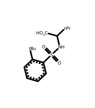 [CH2]CCC(NS(=O)(=O)c1ccccc1C(C)(C)C)C(=O)O